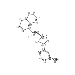 C[C@@H](N[C@H]1CC[C@@H](c2cccc(O)c2)C1)C1=C2C=CCCC2CC=C1